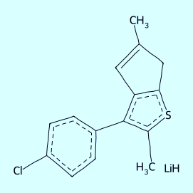 CC1=Cc2c(sc(C)c2-c2ccc(Cl)cc2)C1.[LiH]